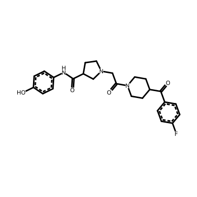 O=C(Nc1ccc(O)cc1)C1CCN(CC(=O)N2CCC(C(=O)c3ccc(F)cc3)CC2)C1